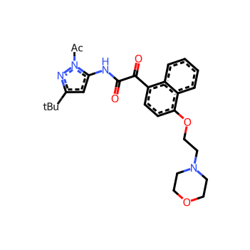 CC(=O)n1nc(C(C)(C)C)cc1NC(=O)C(=O)c1ccc(OCCN2CCOCC2)c2ccccc12